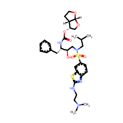 CC(C)CN(C[C@@H](O)[C@H](Cc1ccccc1)NC(=O)O[C@H]1CO[C@H]2OCC[C@H]21)S(=O)(=O)c1ccc2nc(NCCN(C)C)sc2c1